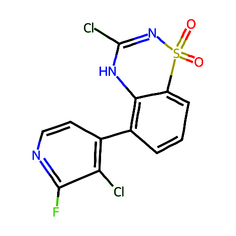 O=S1(=O)N=C(Cl)Nc2c(-c3ccnc(F)c3Cl)cccc21